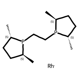 C[C@H]1CC[C@H](C)P1CCP1[C@@H](C)CC[C@@H]1C.[Rh]